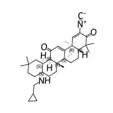 [C-]#[N+]C1=C[C@]2(C)C3=CC(=O)[C@@H]4[C@@H]5CC(C)(C)CC[C@]5(NCC5CC5)CC[C@@]4(C)[C@]3(C)CC[C@H]2C(C)(C)C1=O